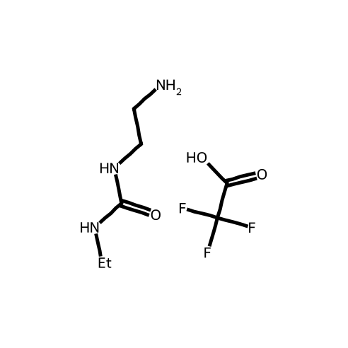 CCNC(=O)NCCN.O=C(O)C(F)(F)F